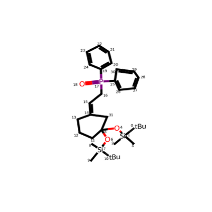 CC(C)(C)[Si](C)(C)OC1(O[Si](C)(C)C(C)(C)C)CCCC(=CCP(=O)(c2ccccc2)c2ccccc2)C1